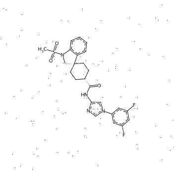 CS(=O)(=O)N1C[C@]2(CC[C@@H](C(=O)Nc3cn(-c4cc(F)cc(F)c4)cn3)CC2)c2ccccc21